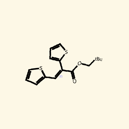 CC(C)(C)COC(=O)/C(=C/c1cccs1)c1cccs1